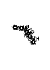 Cc1c(C(=O)N2CCN(c3ccccc3)CC2)sc2ncn(CC(=O)NC3CCCC3)c(=O)c12